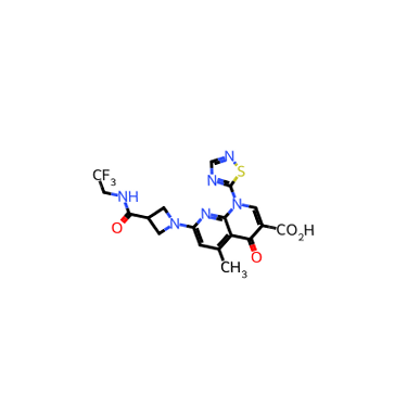 Cc1cc(N2CC(C(=O)NCC(F)(F)F)C2)nc2c1c(=O)c(C(=O)O)cn2-c1ncns1